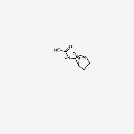 O=C(O)NC1CN2CCC1C2=O